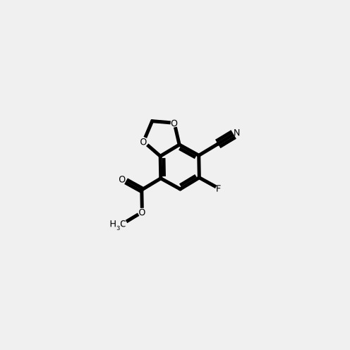 COC(=O)c1cc(F)c(C#N)c2c1OCO2